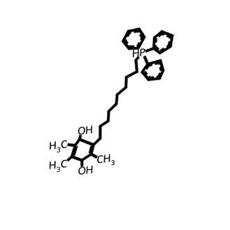 CC1=C(C)C(O)C(CCCCCCCCCC[PH](c2ccccc2)(c2ccccc2)c2ccccc2)=C(C)C1O